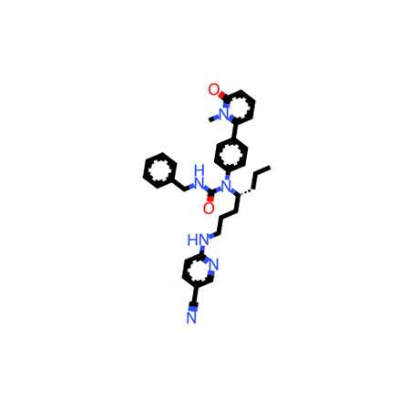 CCC[C@H](CCCNc1ccc(C#N)cn1)N(C(=O)NCc1ccccc1)c1ccc(-c2cccc(=O)n2C)cc1